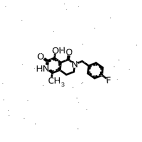 Cc1[nH]c(=O)c(O)c2c1CCN(Cc1ccc(F)cc1)C2=O